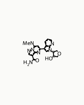 CNc1cc(-c2cn([C@H]3COC[C@@H]3O)c3ncccc23)nc2c(C(N)=O)cnn12